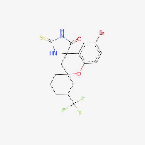 O=C1NC(=S)NC12CC1(CCCC(C(F)(F)F)C1)Oc1ccc(Br)cc12